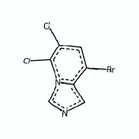 Clc1cc(Br)c2cncn2c1Cl